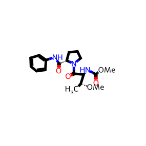 COC(=O)N[C@H](C(=O)N1CCC[C@H]1C(=O)Nc1ccccc1)[C@@H](C)OC